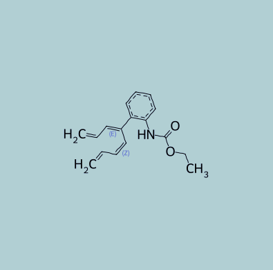 C=C/C=C\C(=C/C=C)c1ccccc1NC(=O)OCC